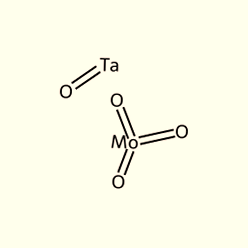 [O]=[Mo](=[O])=[O].[O]=[Ta]